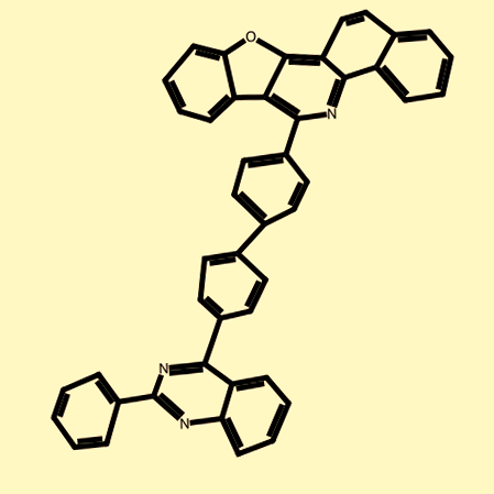 c1ccc(-c2nc(-c3ccc(-c4ccc(-c5nc6c7ccccc7ccc6c6oc7ccccc7c56)cc4)cc3)c3ccccc3n2)cc1